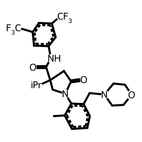 Cc1cccc(CN2CCOCC2)c1N1CC(C(=O)Nc2cc(C(F)(F)F)cc(C(F)(F)F)c2)(C(C)C)CC1=O